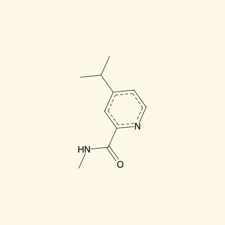 CNC(=O)c1cc(C(C)C)ccn1